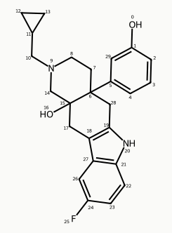 Oc1cccc(C23CCN(CC4CC4)CC2(O)Cc2c([nH]c4ccc(F)cc24)C3)c1